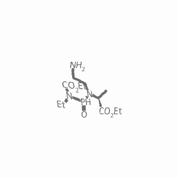 CCOC(=O)[C@H](C)N(CCN)[PH](=O)N(CC)C(=O)OCC